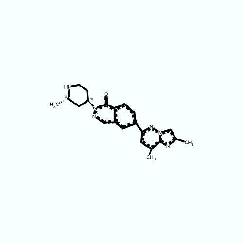 Cc1cn2nc(-c3ccc4c(=O)n([C@@H]5CCN[C@@H](C)C5)ncc4c3)cc(C)c2n1